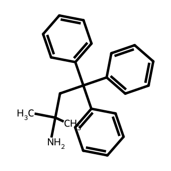 CC(C)(N)CC(c1ccccc1)(c1ccccc1)c1ccccc1